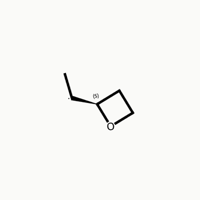 C[CH][C@H]1CCO1